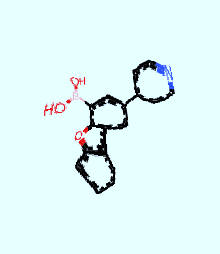 OB(O)c1cc(-c2ccncc2)cc2c1oc1ccccc12